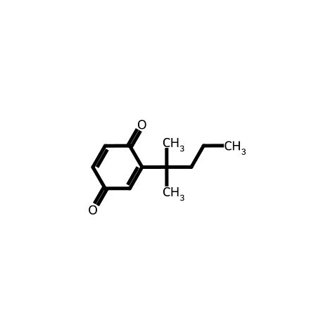 CCCC(C)(C)C1=CC(=O)C=CC1=O